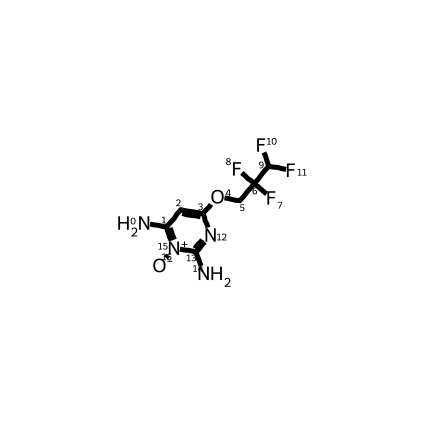 Nc1cc(OCC(F)(F)C(F)F)nc(N)[n+]1[O-]